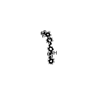 O=C(NC1CCC(CCN2CCN(c3cccc(C(F)(F)F)c3)CC2)CC1)OCc1ccccc1